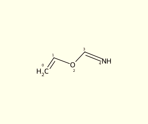 C=COC=N